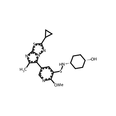 COc1ncc(-c2c(C)nc3sc(C4CC4)nn23)cc1SN[C@H]1CC[C@@H](O)CC1